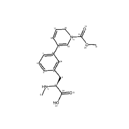 CN[C@@H](Cc1cccc(C2=CN(C(=O)OC)CC=C2)c1)C(=O)O